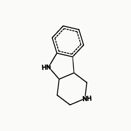 c1ccc2c(c1)NC1CCNCC21